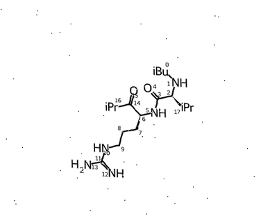 CCC(C)N[C@H](C(=O)N[C@@H](CCCNC(=N)N)C(=O)C(C)C)C(C)C